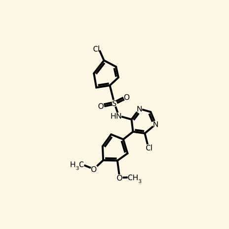 COc1ccc(-c2c(Cl)ncnc2NS(=O)(=O)c2ccc(Cl)cc2)cc1OC